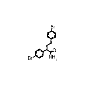 NC(=O)C(CCc1ccc(Br)cc1)c1ccc(Br)cc1